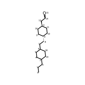 CCCC1CCC(CC[C@H]2CC[C@H](CC=O)CC2)CC1